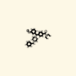 CCN(CC)C(=O)c1ccc([C@H](c2cccc(N=O)c2)N2CCN(Cc3ccccc3)CC2)cc1